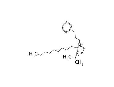 CCCCCCCCCc1n(C(C)C)cc[n+]1CCCc1ccccc1